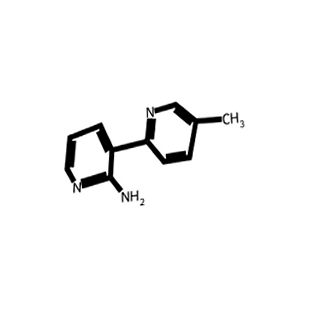 Cc1ccc(-c2cccnc2N)nc1